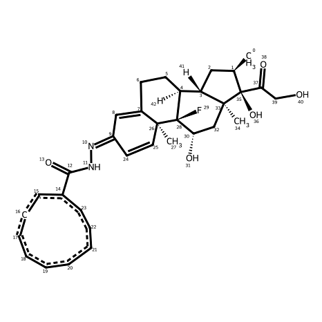 C[C@@H]1C[C@H]2[C@@H]3CCC4=C/C(=N/NC(=O)c5ccccccccc5)C=C[C@]4(C)[C@@]3(F)[C@@H](O)C[C@]2(C)[C@@]1(O)C(=O)CO